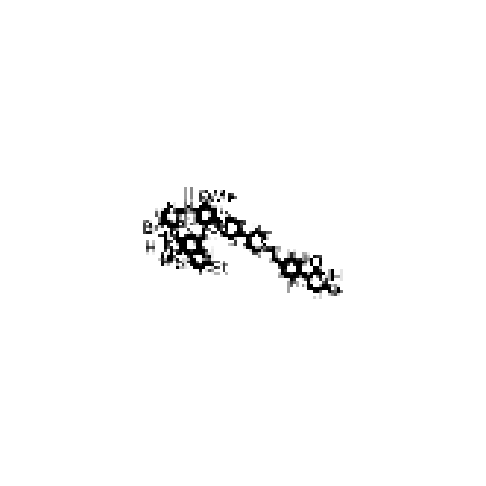 CCc1ccc2c(P(C)(C)=O)c(Nc3nc(Nc4cc(CC)c(N5CCC(C6CCN(CCc7cc(F)c(C8CCC(=O)NC8=O)c(F)c7)CC6)CC5)cc4OC)ncc3Br)ccc2n1